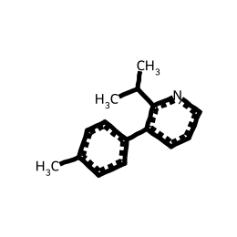 Cc1ccc(-c2cccnc2C(C)C)cc1